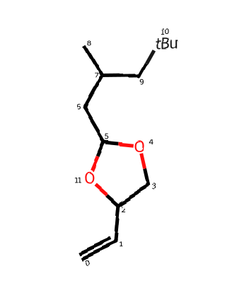 C=CC1COC(CC(C)CC(C)(C)C)O1